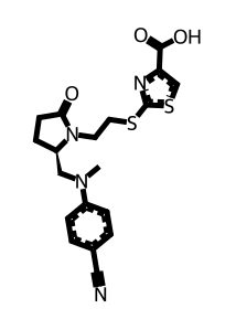 CN(C[C@H]1CCC(=O)N1CCSc1nc(C(=O)O)cs1)c1ccc(C#N)cc1